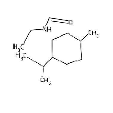 CC1CCC(C(C)C)CC1.CCNC=O